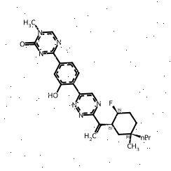 C=C(c1ncc(-c2ccc(-c3ncn(C)c(=O)n3)cc2O)nn1)[C@@H]1C[C@](C)(CCC)CC[C@@H]1F